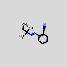 CCC(C)(C)N=NC1=C(C#N)CCCC1